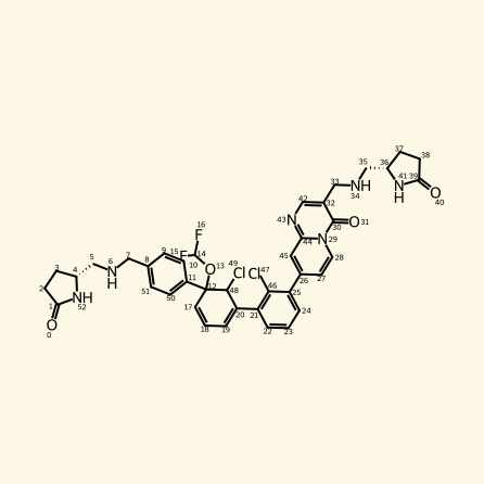 O=C1CC[C@H](CNCc2ccc(C3(OC(F)F)C=CC=C(c4cccc(-c5ccn6c(=O)c(CNC[C@@H]7CCC(=O)N7)cnc6c5)c4Cl)C3Cl)cc2)N1